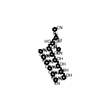 CCc1cc(N=Nc2cccc(C#N)c2)cc(Cc2cc(N=Nc3cccc(C#N)c3)cc(Cc3cc(N=Nc4cccc(C#N)c4)cc(Cc4cc(N=Nc5cccc(C#N)c5)cc(Cc5cc(N=Nc6cccc(C#N)c6)cc(Cc6cc(N=Nc7cccc(C#N)c7)cc(Cc7cc(N=Nc8cccc(C#N)c8)cc(Cc8cc(N=Nc9cccc(C#N)c9)ccc8O)c7O)c6O)c5O)c4O)c3O)c2O)c1O